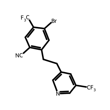 N#Cc1cc(C(F)(F)F)c(Br)cc1CCc1cncc(C(F)(F)F)c1